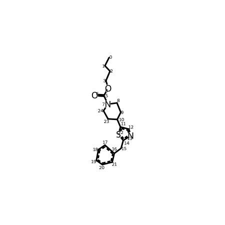 CCCCOC(=O)N1CCC(c2cnc(Cc3ccccc3)s2)CC1